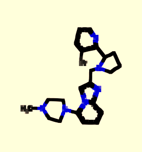 CC(C)c1cccnc1C1CCCN1Cc1cn2c(N3CCN(C)CC3)cccc2n1